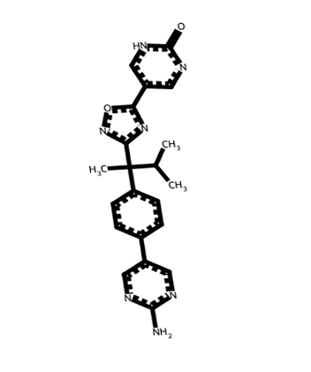 CC(C)C(C)(c1ccc(-c2cnc(N)nc2)cc1)c1noc(-c2cnc(=O)[nH]c2)n1